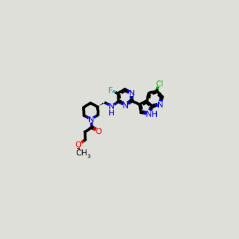 COCCC(=O)N1CCC[C@H](CNc2nc(-c3c[nH]c4ncc(Cl)cc34)ncc2F)C1